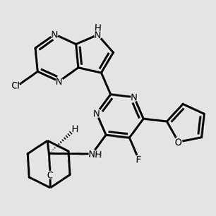 Fc1c(N[C@H]2CC3CCC2CC3)nc(-c2c[nH]c3ncc(Cl)nc23)nc1-c1ccco1